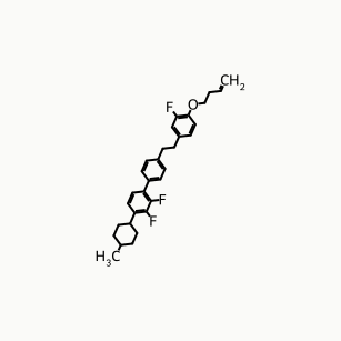 C=CCCOc1ccc(CCc2ccc(-c3ccc(C4CCC(C)CC4)c(F)c3F)cc2)cc1F